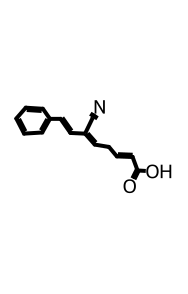 N#CC(C=Cc1ccccc1)=CCC=CC(=O)O